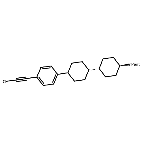 CCCCC[C@H]1CC[C@H](C2CCC(c3ccc(C#CCl)cc3)CC2)CC1